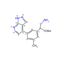 COC(CN)c1cc(C)cc(-c2ccnc3[nH]ncc23)c1